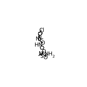 Cc1nc(O[C@H]2CC[C@H](NC(=O)c3cnn(-c4ccc(Cl)cc4)c3C)CC2)c(C(N)=O)s1